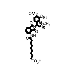 CCOc1cc(C(CS(C)(=O)=O)N2C(=O)c3cccc(NC(=O)CCCCCCCCC(=O)O)c3C2=O)ccc1OC